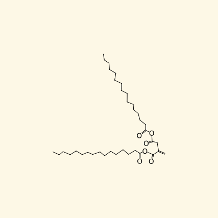 C=C(CC(=O)OC(=O)CCCCCCCCCCCCCCC)C(=O)OC(=O)CCCCCCCCCCCCCCC